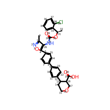 Cc1noc(-c2ccc(-c3ccc(C4CCOCC4C(=O)O)cc3)cc2)c1NC(=O)O[C@H](C)c1ccccc1Cl